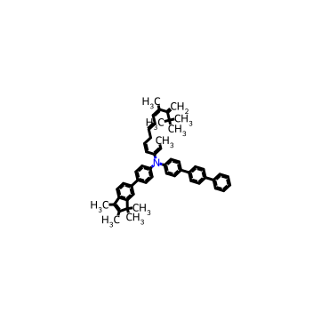 C=C(/C(C)=C\C=C\C/C=C\C(=C/C)N(c1ccc(-c2ccc(-c3ccccc3)cc2)cc1)c1ccc(-c2ccc3c(c2)C(C)(C)C(C)=C3C)cc1)C(C)(C)C